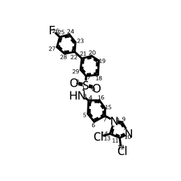 O=S(=O)(Nc1ccc(-n2cnc(Cl)c2Cl)cc1)c1cccc(-c2ccc(F)cc2)c1